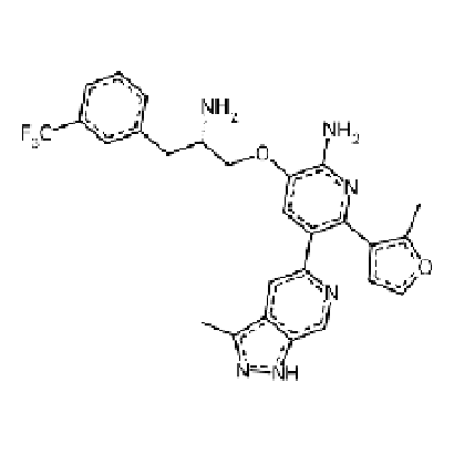 Cc1occc1-c1nc(N)c(OC[C@@H](N)Cc2cccc(C(F)(F)F)c2)cc1-c1cc2c(C)n[nH]c2cn1